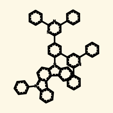 c1ccc(-c2cc(-c3cc(-c4cc(-c5ccccc5)nc(-c5ccccc5)n4)ccc3-n3c4ccccc4c4c5c6ccccc6n(-c6ccccc6)c5ccc43)cc(-c3ccccc3)n2)cc1